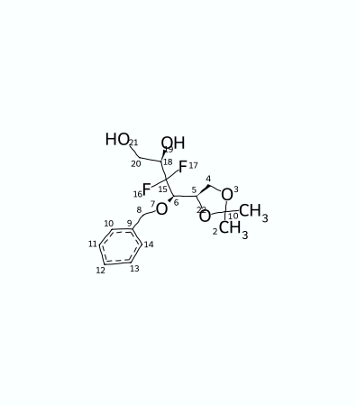 CC1(C)OC[C@H]([C@@H](OCc2ccccc2)C(F)(F)[C@H](O)CO)O1